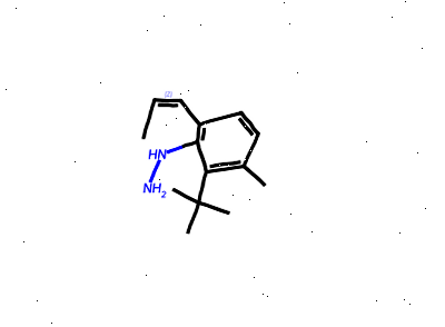 C/C=C\c1ccc(C)c(C(C)(C)C)c1NN